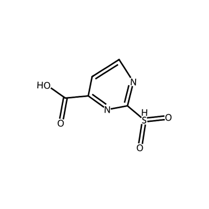 O=C(O)c1ccnc([SH](=O)=O)n1